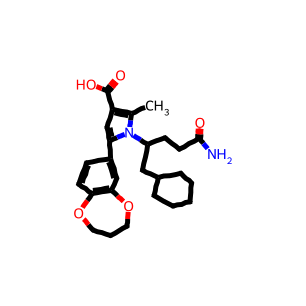 Cc1c(C(=O)O)cc(-c2ccc3c(c2)OCCCO3)n1C(CCC(N)=O)CC1CCCCC1